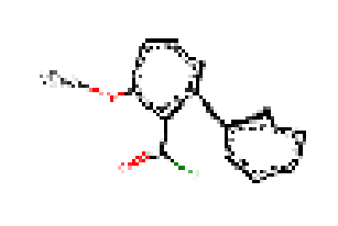 CCCCCCCCCCOc1cccc(-c2ccccc2)c1C(=O)Cl